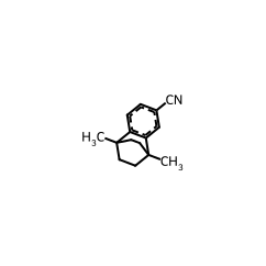 CC12CCC(C)(CC1)c1cc(C#N)ccc12